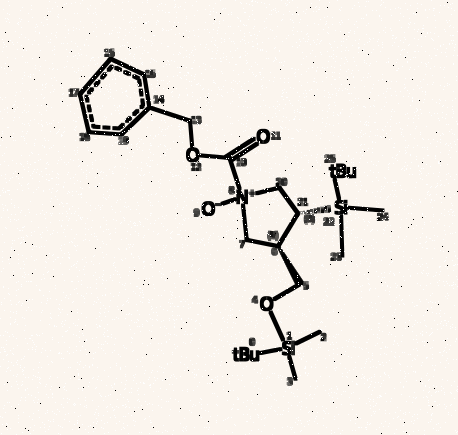 CC(C)(C)[Si](C)(C)OC[C@H]1C[N+]([O-])(C(=O)OCc2ccccc2)C[C@@H]1[Si](C)(C)C(C)(C)C